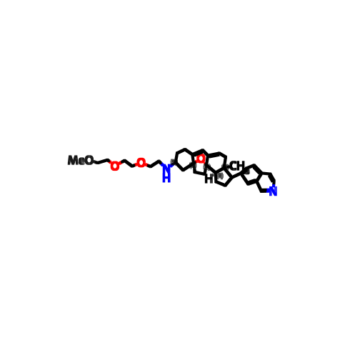 COCCOCCOCCN[C@H]1CCC2=CC3=CC[C@]4(C)C(c5ccc6ccncc6c5)CC[C@H]4[C@@]34CC[C@]2(C1)O4